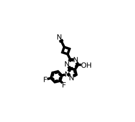 N#CC1CC(c2nc(O)c3cnn(-c4ccc(F)cc4F)c3n2)C1